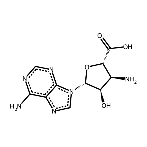 Nc1ncnc2c1ncn2[C@@H]1O[C@H](C(=O)O)[C@@H](N)[C@H]1O